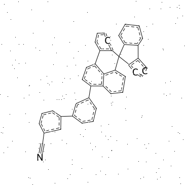 N#Cc1cccc(-c2cccc(-c3ccc4c5c(cccc35)C3(c5ccccc5-c5ccccc53)c3ccccc3-4)c2)c1